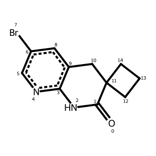 O=C1Nc2ncc(Br)cc2CC12CCC2